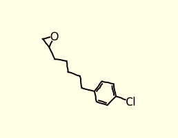 Clc1ccc(CCCCCC2CO2)cc1